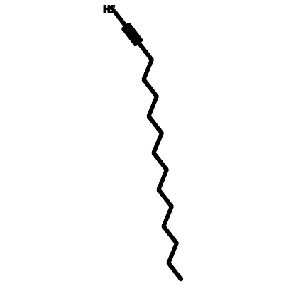 CCCCCCCCCCCCCC#CS